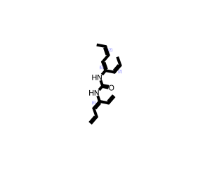 C=C/C=C(\C=C)NC(=O)NC(/C=C\C)=C/C=C\C